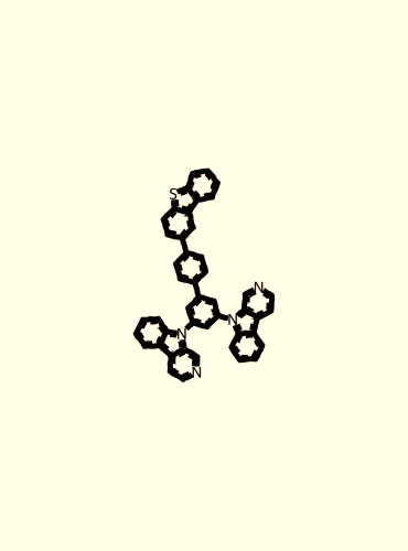 c1ccc2c(c1)sc1ccc(-c3ccc(-c4cc(-n5c6ccccc6c6ccncc65)cc(-n5c6ccccc6c6ccncc65)c4)cc3)cc12